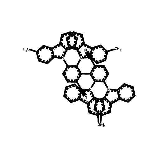 Cc1ccc2c(c1)c1ccccc1n2-c1ccc(C#N)c(-c2c(C#N)ccc(-n3c4ccccc4c4cc(C)ccc43)c2-n2c3ccccc3c3cc(C)ccc32)c1-n1c2ccccc2c2cc(C)ccc21